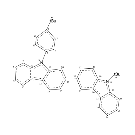 CC(C)(C)c1ccc(-n2c3ccccc3c3ccc(-c4ccc5c(c4)c4ccccc4n5C(C)(C)C)cc32)cc1